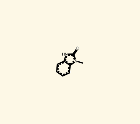 Cn1c(=O)[nH]c2cc[c]cc21